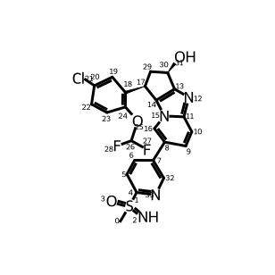 CS(=N)(=O)c1ccc(-c2ccc3nc4c(n3c2)[C@@H](c2cc(Cl)ccc2OC(F)F)C[C@H]4O)cn1